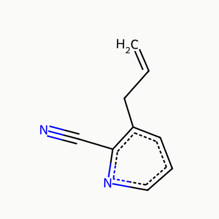 C=CCc1cccnc1C#N